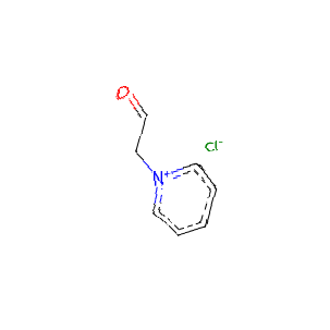 O=CC[n+]1ccccc1.[Cl-]